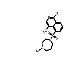 CC(=O)N1CCCN(S(=O)(=O)c2cccc3c(Cl)ncc(C)c23)CC1